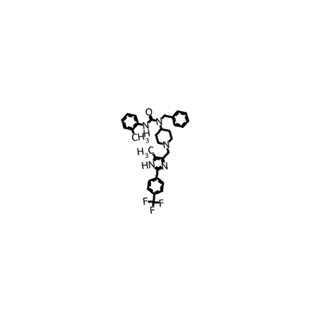 Cc1ccccc1NC(=O)N(Cc1ccccc1)C1CCN(Cc2nc(-c3ccc(C(F)(F)F)cc3)[nH]c2C)CC1